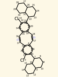 Clc1cc2c(cc1C1CCCC3CCCCC31)/C=C\c1cc(C3CCCC4CCCCC43)c(Cl)cc1/C=C\2